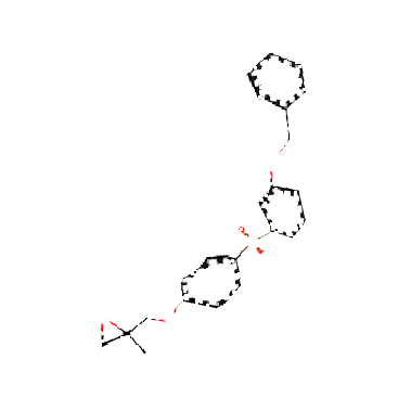 CC1(COc2ccc(S(=O)(=O)c3cccc(OCc4ccccc4)c3)cc2)CO1